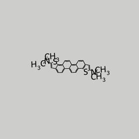 CN(C)c1cc2ccc3c4ccc5c(ccc6cc(N(C)C)sc65)c4ccc3c2s1